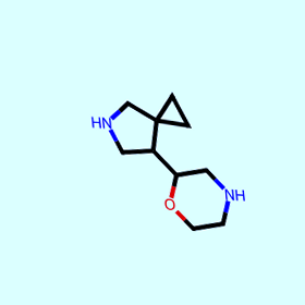 C1COC(C2CNCC23CC3)CN1